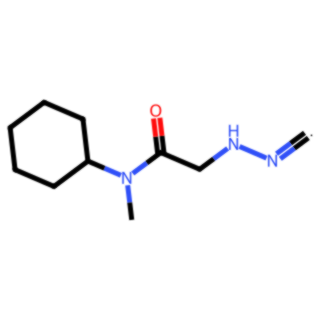 [CH]=NNCC(=O)N(C)C1CCCCC1